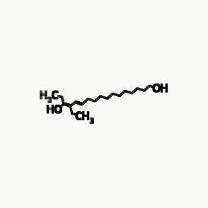 CCC(O)=C(C=CCCCCCCCCCCCO)CC